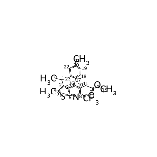 CCc1c(C)sc2nc(C)c(CC(=O)OC)c(-c3ccc(C)cc3)c12